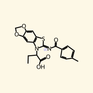 CCC(C(=O)O)n1/c(=N/C(=O)c2ccc(C)cc2)sc2cc3c(cc21)OCO3